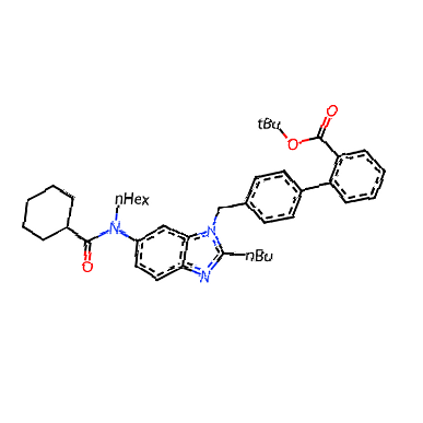 CCCCCCN(C(=O)C1CCCCC1)c1ccc2nc(CCCC)n(Cc3ccc(-c4ccccc4C(=O)OC(C)(C)C)cc3)c2c1